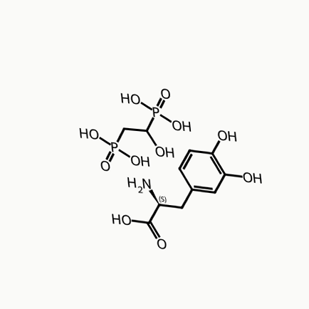 N[C@@H](Cc1ccc(O)c(O)c1)C(=O)O.O=P(O)(O)CC(O)P(=O)(O)O